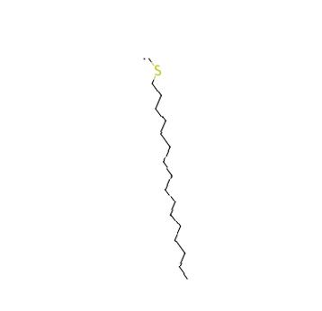 [CH2]SCCCCCCCCCCCCCCCC